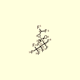 O=S(=O)(OC(F)F)C(F)(F)C(F)(F)C(F)(F)F